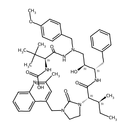 CC[C@H](C)[C@@H](C(=O)N[C@@H](Cc1ccccc1)[C@@H](O)CN(Cc1ccc(OC)cc1)NC(=O)[C@@H](NC(=O)O)C(C)(C)C)N1CCN(Cc2cc(C)nc3ccccc23)C1=O